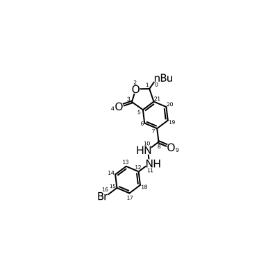 CCCCC1OC(=O)c2cc(C(=O)NNc3ccc(Br)cc3)ccc21